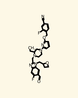 CCC1CN(c2cccc(OCc3ccc(C#N)cc3F)n2)CCN1Cc1nc2cc(F)c(C=O)cc2n1CC1CCO1